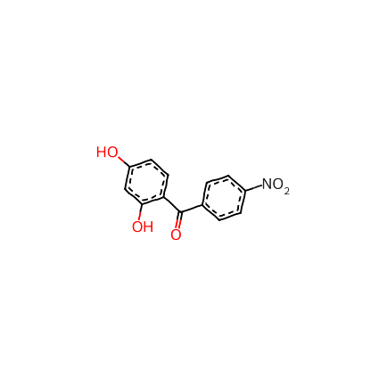 O=C(c1ccc([N+](=O)[O-])cc1)c1ccc(O)cc1O